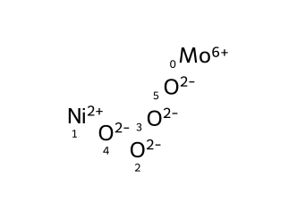 [Mo+6].[Ni+2].[O-2].[O-2].[O-2].[O-2]